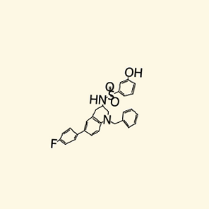 O=S(=O)(N[C@@H]1Cc2cc(-c3ccc(F)cc3)ccc2N(Cc2ccccc2)C1)c1cccc(O)c1